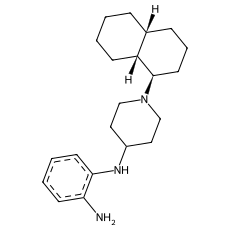 Nc1ccccc1NC1CCN([C@@H]2CCC[C@H]3CCCC[C@H]32)CC1